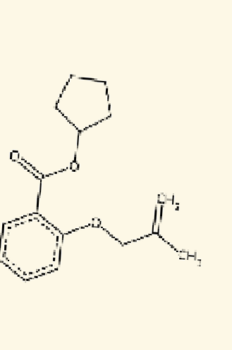 C=C(C)COc1ccccc1C(=O)OC1CCCC1